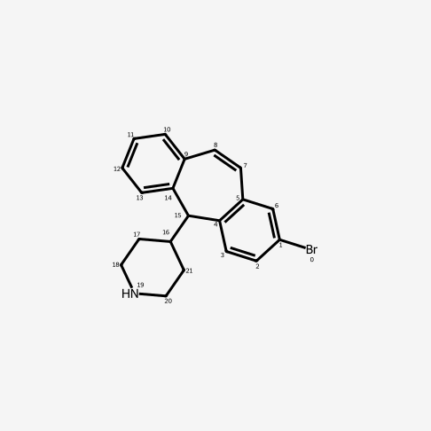 Brc1ccc2c(c1)C=Cc1ccccc1C2C1CCNCC1